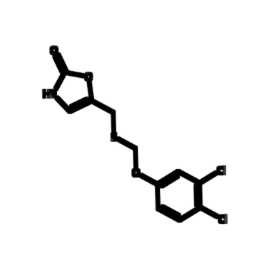 O=c1[nH]cc(CSCOc2ccc(Cl)c(Cl)c2)o1